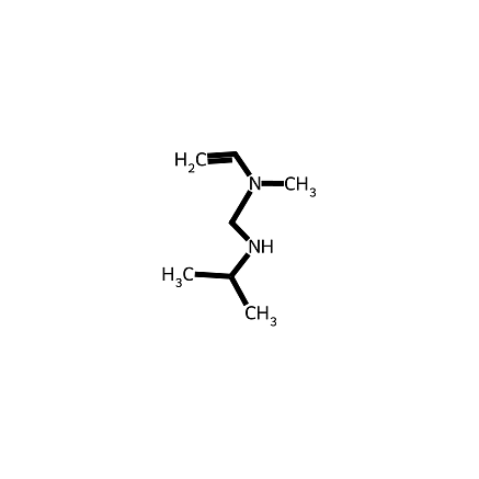 C=CN(C)CNC(C)C